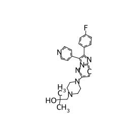 CC(C)(O)CN1CCN(c2ccc3nc(-c4ccc(F)cc4)c(-c4ccncc4)n3n2)CC1